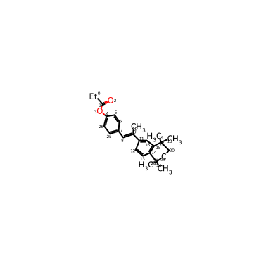 CCC(=O)Oc1ccc(/C=C(\C)c2ccc3c(c2)C(C)(C)CCC3(C)C)cc1